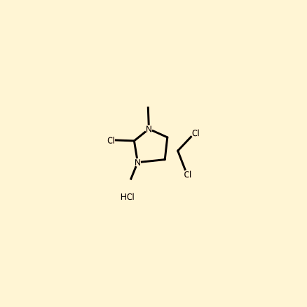 CN1CCN(C)C1Cl.Cl.ClCCl